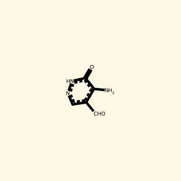 Nc1c(C=O)cn[nH]c1=O